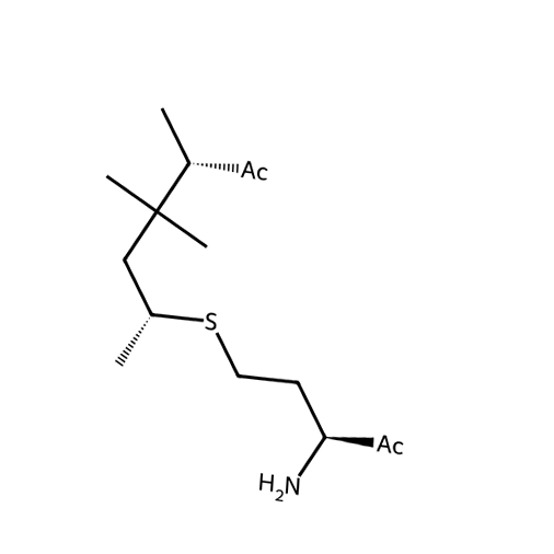 CC(=O)[C@@H](C)C(C)(C)C[C@@H](C)SCC[C@H](N)C(C)=O